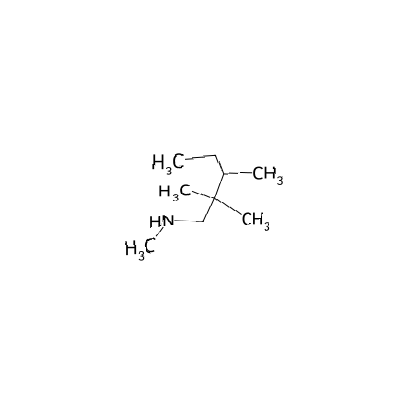 CCC(C)C(C)(C)CNC